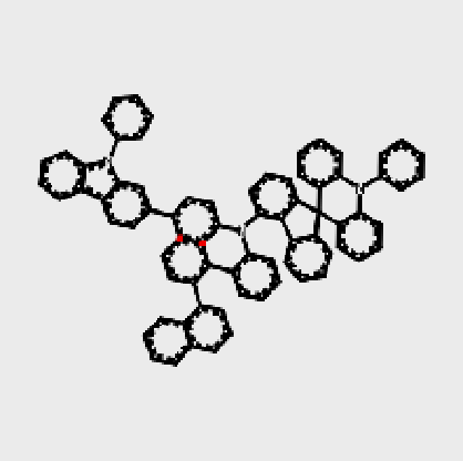 c1ccc(N2c3ccccc3C3(c4ccccc4-c4c(N(c5ccc(-c6ccc7c8ccccc8n(-c8ccccc8)c7c6)cc5)c5ccccc5-c5ccccc5-c5cccc6ccccc56)cccc43)c3ccccc32)cc1